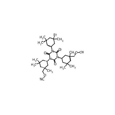 CCC1(C)CC(n2c(=O)n(C3CC(C)(C)CC(C)(COC#N)C3)c(=O)n(C3CC(C)(C)CC(C)(COC#N)C3)c2=O)CC(C)(C)C1